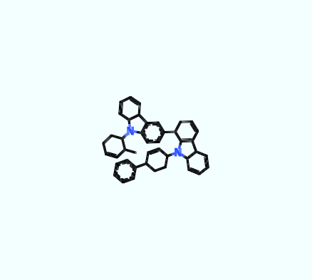 CC1C=CCCC1N1c2ccc(C3CC=CC4=C3N(C3C=CC(c5ccccc5)CC3)C3C=CC=CC43)cc2C2C=CC=CC21